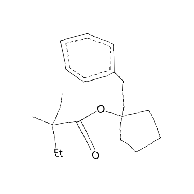 CCC(C)(C)C(=O)OC1(Cc2ccccc2)CCCC1